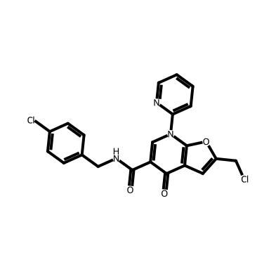 O=C(NCc1ccc(Cl)cc1)c1cn(-c2ccccn2)c2oc(CCl)cc2c1=O